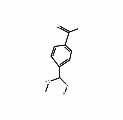 CNC(SF)c1ccc(C(C)=O)cc1